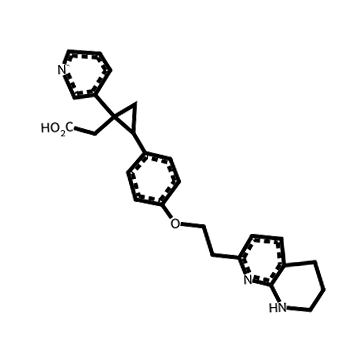 O=C(O)CC1(c2cccnc2)CC1c1ccc(OCCc2ccc3c(n2)NCCC3)cc1